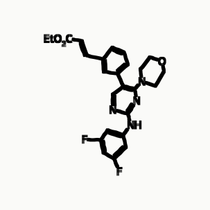 CCOC(=O)C=Cc1cccc(-c2cnc(Nc3cc(F)cc(F)c3)nc2N2CCOCC2)c1